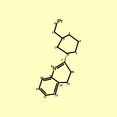 CC(C)CC1CCC[C@H](C2=Nc3ccccc3CC2)C1